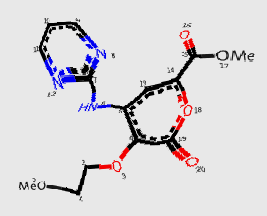 COCCOc1c(Nc2ncccn2)cc(C(=O)OC)oc1=O